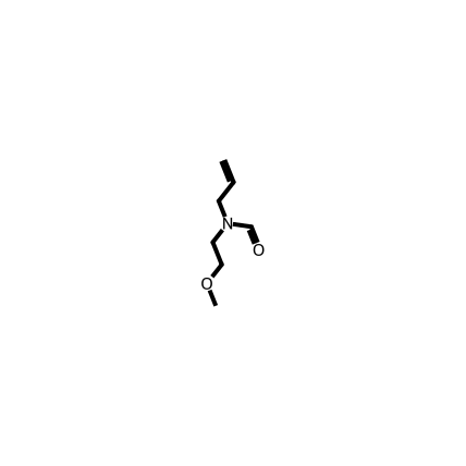 C=CCN(C=O)CCOC